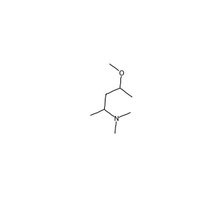 COC(C)CC(C)N(C)C